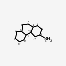 BC1CCC2CCC3CCCCC3C2C1